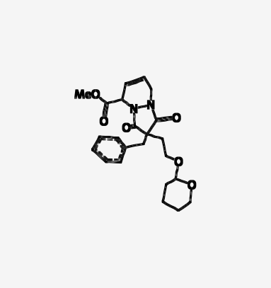 COC(=O)C1C=CCN2C(=O)C(CCOC3CCCCO3)(Cc3ccccc3)C(=O)N12